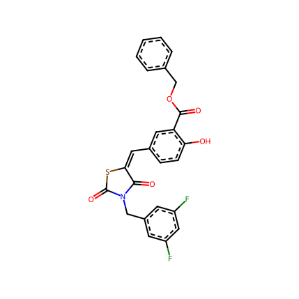 O=C(OCc1ccccc1)c1cc(/C=C2/SC(=O)N(Cc3cc(F)cc(F)c3)C2=O)ccc1O